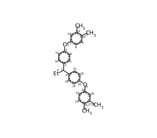 CCC(c1ccc(Oc2ccc(C)c(C)c2)cc1)c1ccc(Oc2ccc(C)c(C)c2)cc1